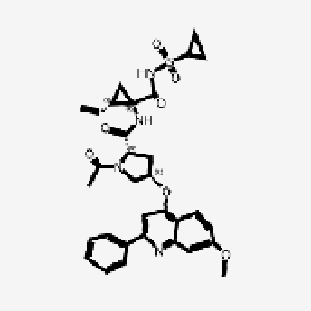 C=C[C@@H]1C[C@]1(NC(=O)[C@@H]1C[C@@H](Oc2cc(-c3ccccc3)nc3cc(OC)ccc23)CN1C(C)=O)C(=O)NS(=O)(=O)C1CC1